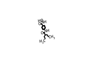 CCCC(CCC)C(=O)Nc1ccc(C(=O)NO)cc1